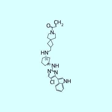 C=CC(=O)N1CCC2(CC1)CC(CN[C@H]1CCC[C@@H](Nc3ncc(Cl)c(-c4c[nH]c5ccccc45)n3)C1)C2